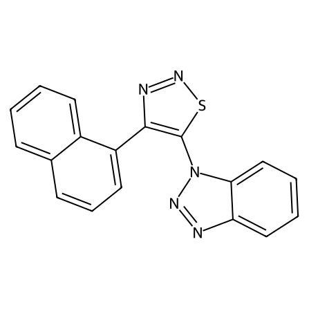 c1ccc2c(-c3nnsc3-n3nnc4ccccc43)cccc2c1